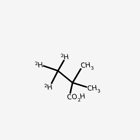 [2H]C([2H])([2H])C(C)(C)C(=O)O